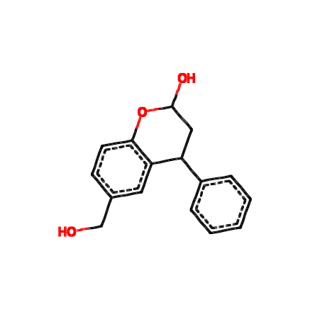 OCc1ccc2c(c1)C(c1ccccc1)CC(O)O2